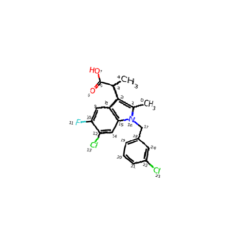 Cc1c(C(C)C(=O)O)c2cc(F)c(Cl)cc2n1Cc1cccc(Cl)c1